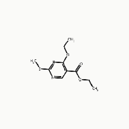 CCOC(=O)c1cnc(SC)nc1OCC